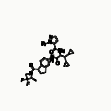 CC(C)n1nccc1C(=O)N[C@H](C(=O)Nc1ccc2c(c1)CCC2C(=O)N1CC(F)(F)[C@@H]1C)C(C1CC1)C1CC1